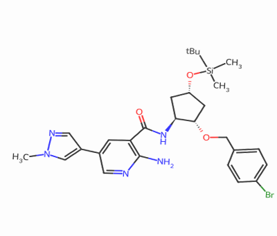 Cn1cc(-c2cnc(N)c(C(=O)N[C@H]3C[C@H](O[Si](C)(C)C(C)(C)C)C[C@@H]3OCc3ccc(Br)cc3)c2)cn1